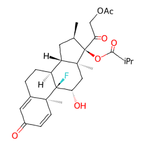 CC(=O)OCC(=O)[C@@]1(OC(=O)C(C)C)[C@H](C)C[C@H]2[C@@H]3CCC4=CC(=O)C=C[C@]4(C)[C@@]3(F)[C@@H](O)C[C@@]21C